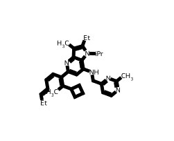 CC/C=C/C=C\C(=C(/C)C1CCC1)c1cc(NCc2ccnc(C)n2)c2c(n1)c(C)c(CC)n2C(C)C